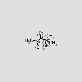 CC[CH][N+](C)(C)C(CC)N(C)C